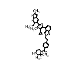 CCc1nc2nn(C)cc2cc1-c1nc(-c2cccc3nn(CCc4ccc(C(=O)N5CCNCC5(C)C)cc4)cc23)c(C2CC2)n1C